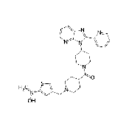 C=[N+](O)c1cc(CN2CCC(C(=O)N3CCC(n4c(-c5ccccn5)nc5cccnc54)CC3)CC2)cs1